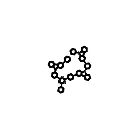 c1ccc(-c2ccc3c(c2)c2ccccc2n3-c2cccc(-c3nc(-c4ccccc4)nc(-c4ccc(-c5ccc6c(c5)c5ccccc5n6-c5cccc(-c6ccc7c(c6)c6ccccc6n7-c6ccccc6)c5)cc4)n3)c2)cc1